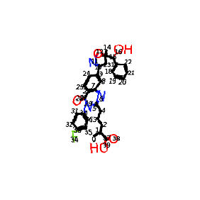 CC(CCCc1nc2cc(C3=NOC(C)([C@@H](O)c4ccccc4)C3)ccc2c(=O)n1-c1ccc(F)cc1)C(=O)O